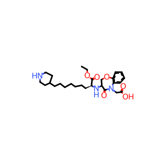 CCOC(=O)[C@H](CCCCCCCC1CCNCC1)NC1COc2ccccc2N(CC(=O)O)C1=O